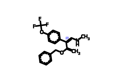 C=C(OCc1ccccc1)/C(=C\NC)c1ccc(OC(F)(F)F)cc1